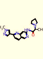 C[C@@H](C(=O)Nc1cc2nc(-c3cnn(C)c3)ccc2cn1)N1CCCC1